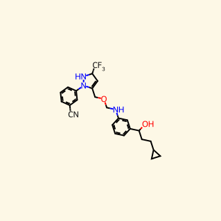 N#Cc1cccc(N2NC(C(F)(F)F)C=C2COCNc2cccc(C(O)CCC3CC3)c2)c1